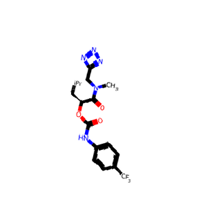 CC(C)C[C@H](OC(=O)Nc1ccc(C(F)(F)F)cc1)C(=O)N(C)CC1=NN=N1